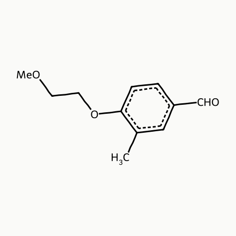 COCCOc1ccc(C=O)cc1C